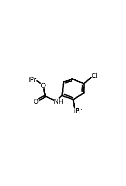 CC(C)OC(=O)Nc1ccc(Cl)cc1C(C)C